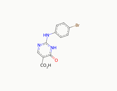 O=C(O)c1cnc(Nc2ccc(Br)cc2)[nH]c1=O